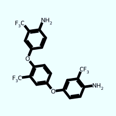 Nc1ccc(Oc2ccc(Oc3ccc(N)c(C(F)(F)F)c3)c(C(F)(F)F)c2)cc1C(F)(F)F